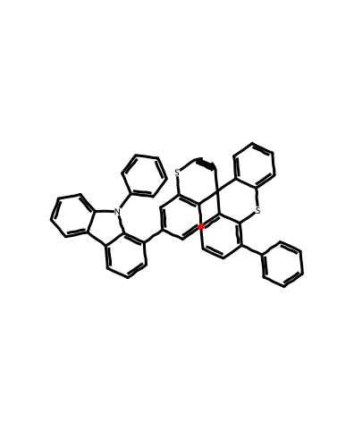 c1ccc(-c2cccc3c2Sc2ccccc2C32c3ccccc3Sc3cc(-c4cccc5c6ccccc6n(-c6ccccc6)c45)ccc32)cc1